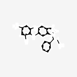 OC[C@H](c1ccccc1)n1nnc2ccc(Oc3c(F)cc(C(F)(F)F)cc3Cl)cc21